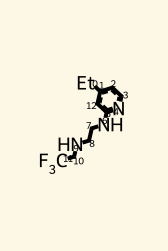 CCc1ccnc(NCCNCC(F)(F)F)c1